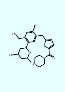 CC1CC(O)CC(c2cc(Cc3ccc(C(=O)N4CCOCC4)s3)c(Cl)cc2CO)O1